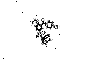 CN1CCN(C(=O)c2cc(S(=O)(=O)NC34CC5CC(CC(C5)C3)C4)cc3c2OCCO3)CC1